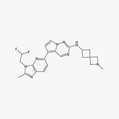 Cc1nc2ccc(-c3ccn4nc(NC5CC6(C5)CN(C)C6)ncc34)nc2n1CC(F)F